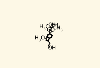 Cn1cc(CCO)c2ccc(B3OC(C)(C)C(C)(C)O3)cc21